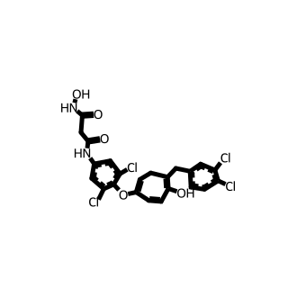 O=C(CC(=O)Nc1cc(Cl)c(OC2=CCC(Cc3ccc(Cl)c(Cl)c3)=C(O)C=C2)c(Cl)c1)NO